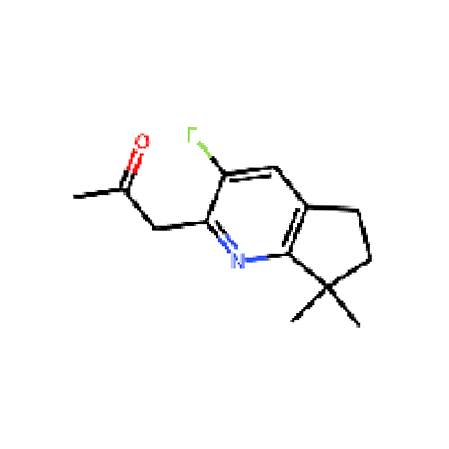 CC(=O)Cc1nc2c(cc1F)CCC2(C)C